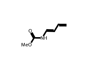 C=CC=CNC(=O)OC